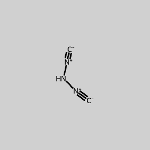 [C-]#[N+]N[N+]#[C-]